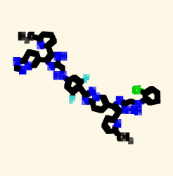 Cc1cccc(-c2[nH]c(CNc3cc(F)c(-c4nc5ccc(-c6nc(CNc7ccccc7Cl)[nH]c6-c6cccc(C)n6)cn5n4)c(F)c3)nc2-c2ccc3ncnn3c2)n1